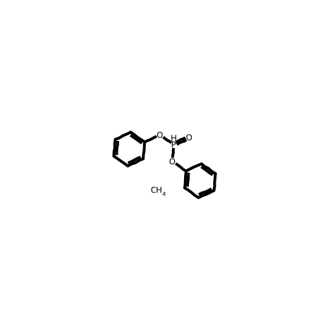 C.O=[PH](Oc1ccccc1)Oc1ccccc1